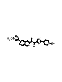 CC(C)N1CCC(c2nc(C(=O)Nc3cc4cc(-c5cn(C)nn5)ncc4cn3)co2)CC1